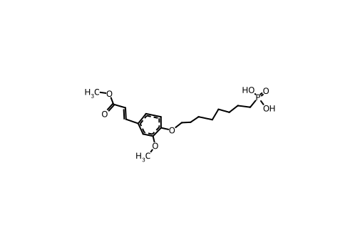 COC(=O)/C=C/c1ccc(OCCCCCCCCP(=O)(O)O)c(OC)c1